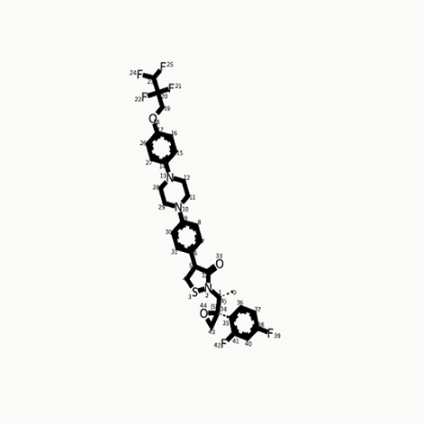 C[C@@H](N1SCC(c2ccc(N3CCN(c4ccc(OCC(F)(F)C(F)F)cc4)CC3)cc2)C1=O)[C@@]1(c2ccc(F)cc2F)CO1